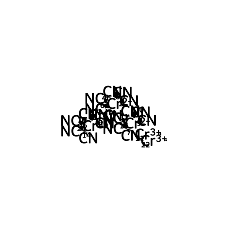 N#[C][Cr-2]([C]#N)([C]#N)([C]#N)([C]#N)[C]#N.N#[C][Cr-2]([C]#N)([C]#N)([C]#N)([C]#N)[C]#N.N#[C][Cr-2]([C]#N)([C]#N)([C]#N)([C]#N)[C]#N.[Cr+3].[Cr+3]